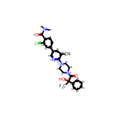 CN(C)C(=O)c1ccc(-c2cnc(N3CCN(C(=O)C(O)(c4ccccc4)C(F)(F)F)CC3)c(C#N)c2)cc1Cl